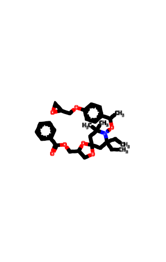 CCC1(CC)CC2(CC(C)(C)N1OC(C)c1ccc(OCC3CO3)cc1)OCC(COC(=O)c1ccccc1)O2